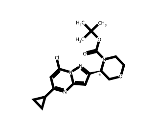 CC(C)(C)OC(=O)N1CCOC[C@H]1c1cc2nc(C3CC3)cc(Cl)n2n1